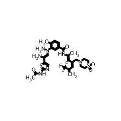 C=C(/C=C(\C=C(/C)NC(=O)c1ccc(C)c(N(N)/C=C(\N)c2cnc(NC(C)=O)s2)c1)CN1CCS(=O)(=O)CC1)C(F)(F)F